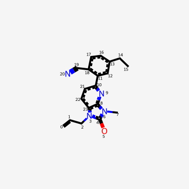 C=CCn1c(=O)n(C)c2nc(-c3cc(CC)ccc3C#N)ccc21